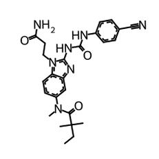 CCC(C)(C)C(=O)N(C)c1ccc2c(c1)nc(NC(=O)Nc1ccc(C#N)cc1)n2CCC(N)=O